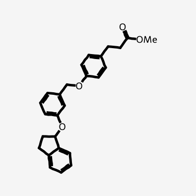 COC(=O)CCc1ccc(OCc2cccc(OC3CCc4ccccc43)c2)cc1